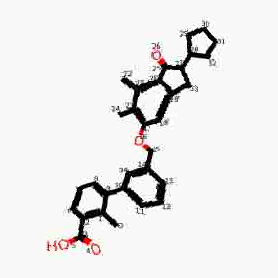 Cc1c(C(=O)O)cccc1-c1cccc(COc2cc3c(c(C)c2C)C(=O)C(C2CCCC2)C3)c1